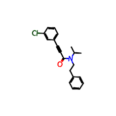 CC(C)N(CCc1ccccc1)C(=O)C#Cc1cccc(Cl)c1